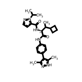 Cc1n[nH]c(C)c1-c1ccc(NC(=O)[C@@H](NC(=O)c2ccnn2C(C)C)C(C)C2CCC2)cc1